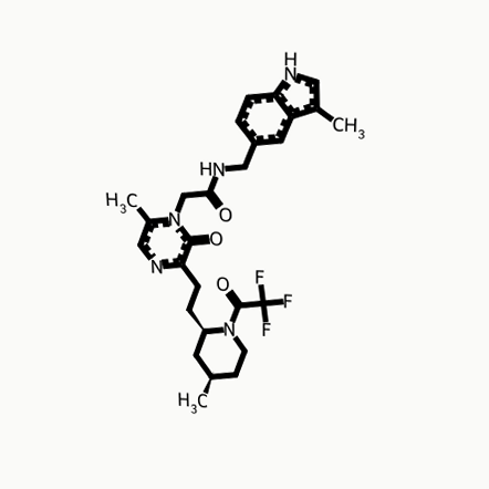 Cc1c[nH]c2ccc(CNC(=O)Cn3c(C)cnc(CC[C@@H]4C[C@H](C)CCN4C(=O)C(F)(F)F)c3=O)cc12